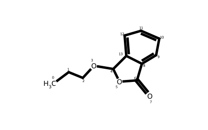 CCCOC1OC(=O)c2ccccc21